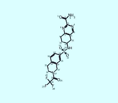 NC(=O)c1ncc2c(n1)CCC(NS(=O)(=O)c1ccc3c(c1)CN(C(=O)C(F)(F)F)CC3)C2